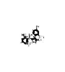 Cc1cc(F)ccc1-c1c(C)nn(C)c1N(C)c1ccccc1[N+](=O)[O-]